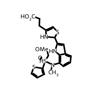 COC[SH](=O)(c1cccs1)N(C)c1cccc2cc(C3NC(CCC(=O)O)=CS3)[nH]c12